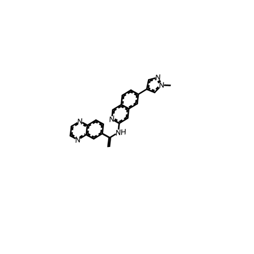 C=C(Nc1cc2cc(-c3cnn(C)c3)ccc2cn1)c1ccc2nccnc2c1